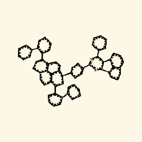 c1ccc(-c2ccccc2-c2ccc3ccc4c(-c5ccccc5-c5ccccc5)cc(-c5ccc(-c6nc(-c7ccccc7)c7c(n6)-c6cccc8cccc-7c68)cc5)c5ccc2c3c54)cc1